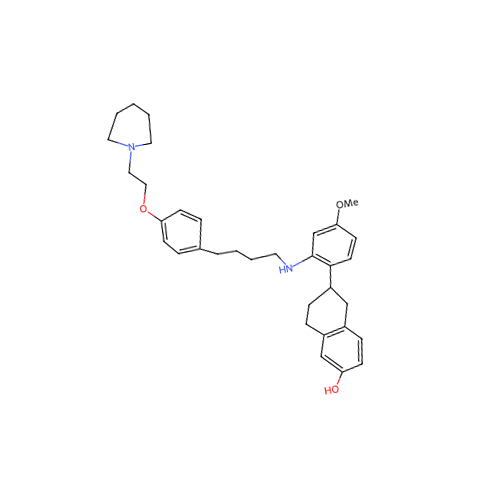 COc1ccc(C2CCc3cc(O)ccc3C2)c(NCCCCc2ccc(OCCN3CCCCC3)cc2)c1